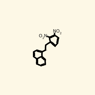 O=[N+]([O-])c1cccc(C[CH]c2cccc3ccccc23)c1[N+](=O)[O-]